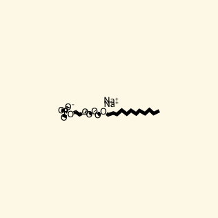 CCCCCCCCCCCCOOOOOCCOP(=O)([O-])[O-].[Na+].[Na+]